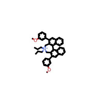 CCC[N+]1(CCC)Cc2c(-c3cccc(OC)c3)cc3ccccc3c2-c2c(c(-c3cccc(OC)c3)cc3ccccc23)C1